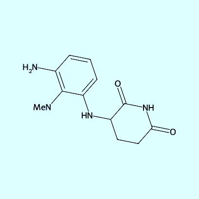 CNc1c(N)cccc1NC1CCC(=O)NC1=O